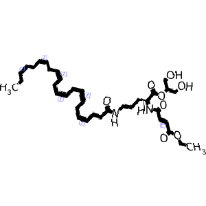 CC/C=C\C/C=C\C/C=C\C/C=C\C/C=C\C/C=C\CCC(=O)NCCC[C@H](NC(=O)/C=C/C(=O)OCC)C(=O)OC(CO)CO